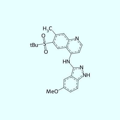 COc1ccc2[nH]nc(Nc3ccnc4cc(C)c(S(=O)(=O)C(C)(C)C)cc34)c2c1